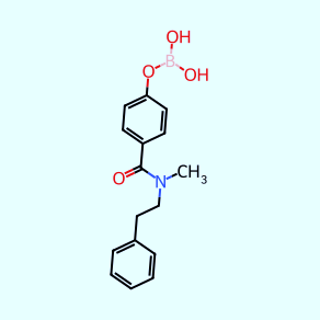 CN(CCc1ccccc1)C(=O)c1ccc(OB(O)O)cc1